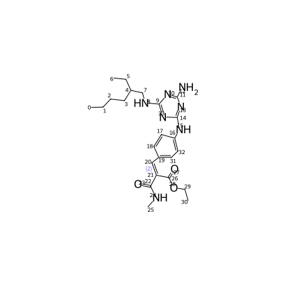 CCCCC(CC)CNc1nc(N)nc(Nc2ccc(/C=C(/C(=O)NC)C(=O)OCC)cc2)n1